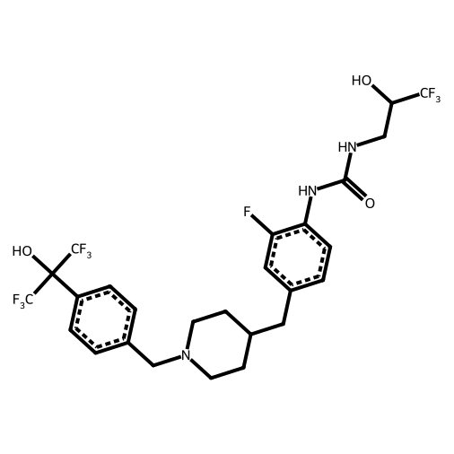 O=C(NCC(O)C(F)(F)F)Nc1ccc(CC2CCN(Cc3ccc(C(O)(C(F)(F)F)C(F)(F)F)cc3)CC2)cc1F